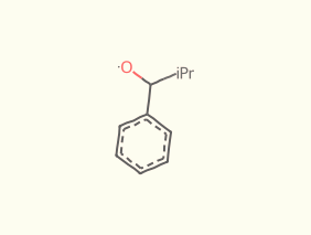 CC(C)C([O])c1ccccc1